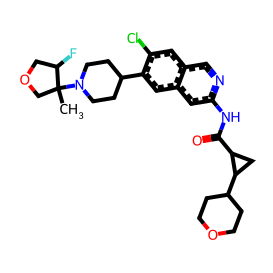 CC1(N2CCC(c3cc4cc(NC(=O)C5CC5C5CCOCC5)ncc4cc3Cl)CC2)COCC1F